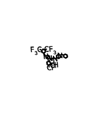 O=C(CNC1CCN(Cc2ccccc2)CC1)N1CCN(Cc2cc(C(F)(F)F)cc(C(F)(F)F)c2)CC1c1ccc(Cl)c(Cl)c1